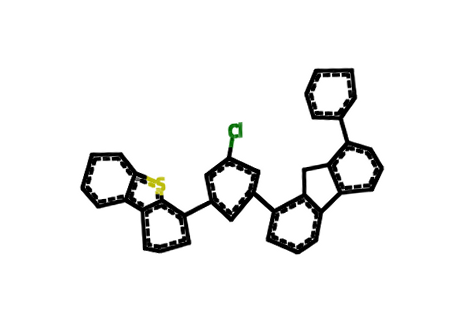 Clc1cc(-c2cccc3c2Cc2c(-c4ccccc4)cccc2-3)cc(-c2cccc3c2sc2ccccc23)c1